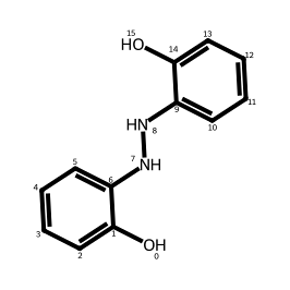 Oc1ccccc1NNc1ccccc1O